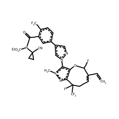 C=C/C1=C/CC(F)(C(F)(F)F)c2nn(C)c(-n3cc(-c4ccc(C(F)(F)F)c(C(=O)N(C(=O)OCC)C5(C#N)CC5)c4)cn3)c2OC1F